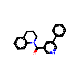 O=C(c1cncc(-c2ccccc2)c1)N1CCCc2ccccc21